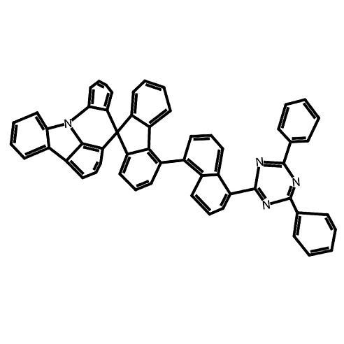 c1ccc(-c2nc(-c3ccccc3)nc(-c3cccc4c(-c5cccc6c5-c5ccccc5C65c6ccccc6-n6c7ccccc7c7cccc5c76)cccc34)n2)cc1